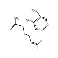 CC(C)=CCSCC(N)=O.O=C(O)c1cnccc1C(F)(F)F